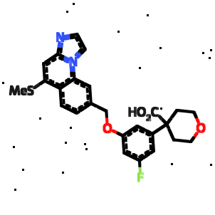 CSc1cc2nccn2c2cc(COc3cc(F)cc(C4(C(=O)O)CCOCC4)c3)ccc12